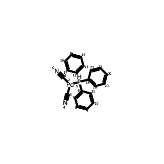 N#[C][Pd]([C]#N)[PH](c1ccccc1)(c1ccccc1)c1ccccc1